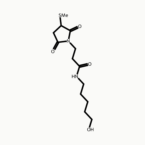 CSC1CC(=O)N(CCC(=O)NCCCCCO)C1=O